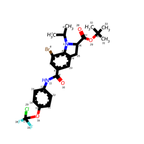 CC(C)N1c2c(Br)cc(C(=O)Nc3ccc(OC(F)(F)Cl)cc3)cc2CC1C(=O)OC(C)(C)C